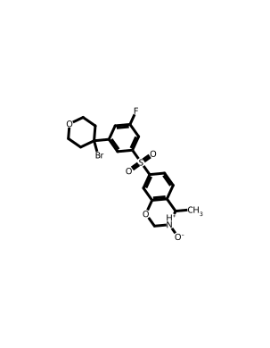 CC1c2ccc(S(=O)(=O)c3cc(F)cc(C4(Br)CCOCC4)c3)cc2OC[NH+]1[O-]